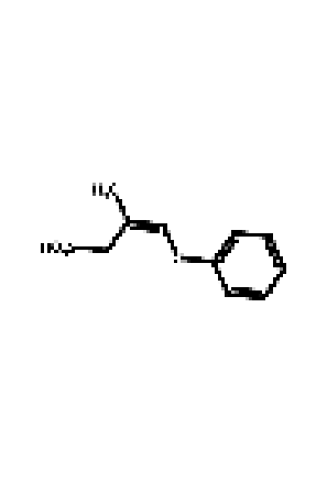 CC(=COc1ccccc1)CS(=O)(=O)O